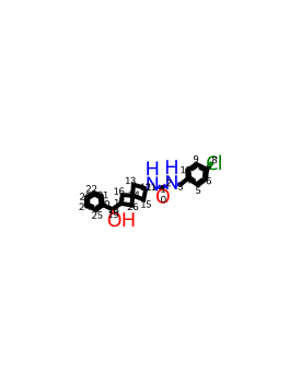 O=C(NCc1ccc(Cl)cc1)NC1CC2(C1)CC(C(O)c1ccccc1)C2